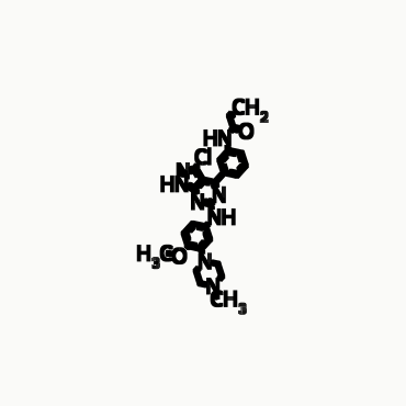 C=CC(=O)Nc1cccc(-c2nc(Nc3ccc(OC)c(N4CCN(C)CC4)c3)nc3[nH]nc(Cl)c23)c1